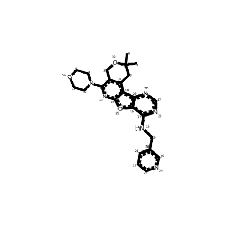 CC1(C)Cc2c(c(N3CCOCC3)nc3oc4c(NCc5cccnc5)ncnc4c23)CO1